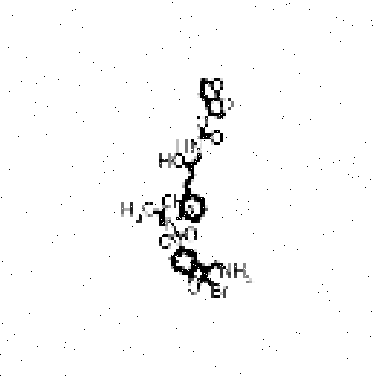 CC(C)CN(c1cccc(CCC(O)CNC(=O)OC2COC3OCCC23)c1)S(=O)(=O)c1ccc2oc(Br)c(CN)c2c1